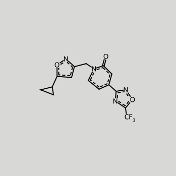 O=c1cc(-c2noc(C(F)(F)F)n2)ccn1Cc1cc(C2CC2)on1